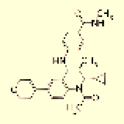 CNC(=O)c1ccc(N[C@H]2c3cc(C4=CCOCC4)ccc3N(C(C)=O)[C@@H](C3CC3)[C@@H]2C)cc1